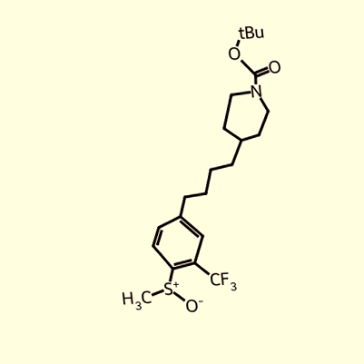 C[S+]([O-])c1ccc(CCCCC2CCN(C(=O)OC(C)(C)C)CC2)cc1C(F)(F)F